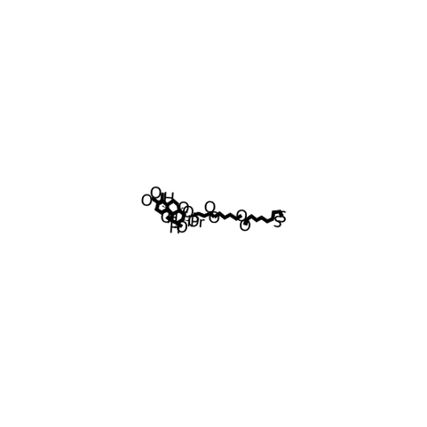 CC(C)[C@]12O[C@H]1[C@@H]1O[C@@]13[C@@]1(C)CCC4=C(COC4=O)[C@@H]1CC1O[C@@]13[C@@H]2OC(=O)CCC(=O)OCCCCOC(=O)CCCCC1CCSS1